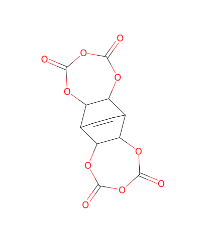 O=C1OC(=O)OC2C3C=CC(C2O1)C1OC(=O)OC(=O)OC31